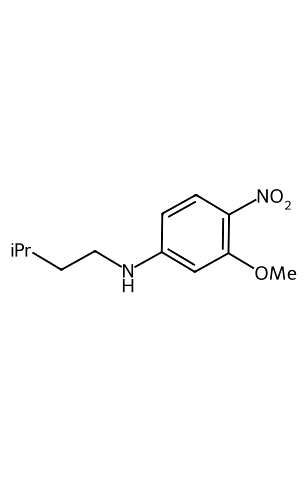 COc1cc(NCCC(C)C)ccc1[N+](=O)[O-]